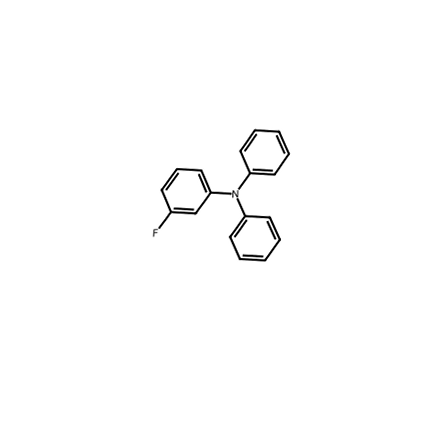 Fc1cccc(N(c2ccccc2)c2ccccc2)c1